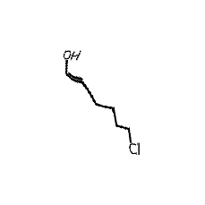 OC=CCCCCCl